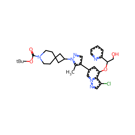 Cc1c(-c2cc(OC(CO)c3ccccn3)c3c(Cl)cnn3c2)cnn1C1CC2(CCN(C(=O)OC(C)(C)C)CC2)C1